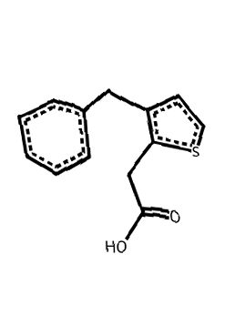 O=C(O)Cc1sccc1Cc1ccccc1